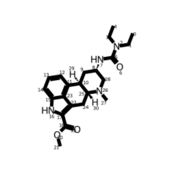 CCN(CC)C(=O)N[C@H]1C[C@@H]2c3cccc4[nH]c(C(=O)OC)c(c34)C[C@H]2N(C)C1